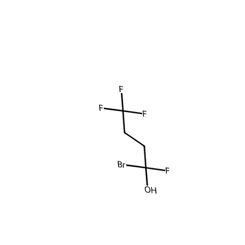 OC(F)(Br)CCC(F)(F)F